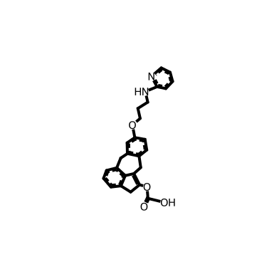 O=C(O)OC1=C2Cc3ccc(OCCCNc4ccccn4)cc3Cc3cccc(c32)C1